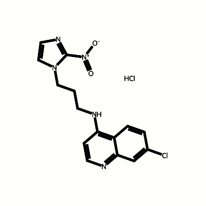 Cl.O=[N+]([O-])c1nccn1CCCNc1ccnc2cc(Cl)ccc12